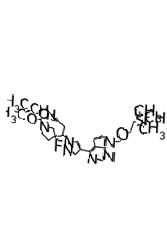 CC(C)(C)OC(=O)N1CCC(F)(C(CC#N)n2cc(-c3ncnc4c3ccn4COCC[Si](C)(C)C)cn2)C1